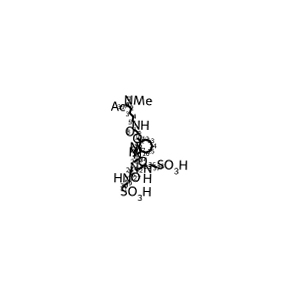 CN[C@H](CCCCNC(=O)COC1CCCCCc2c1nnn2CCN(CC(=O)NCCS(=O)(=O)O)CC(=O)NCCS(=O)(=O)O)C(C)=O